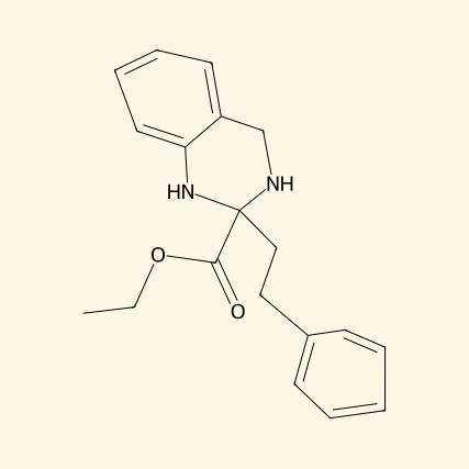 CCOC(=O)C1(CCc2ccccc2)NCc2ccccc2N1